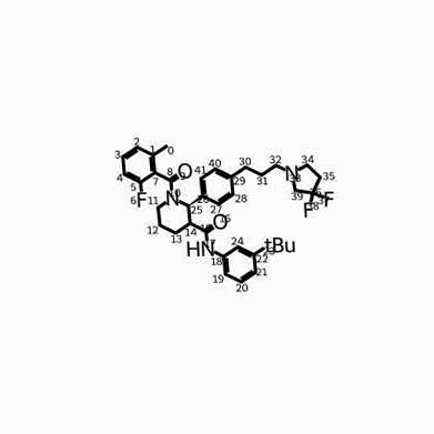 Cc1cccc(F)c1C(=O)N1CCCC(C(=O)Nc2cccc(C(C)(C)C)c2)[C@@H]1c1ccc(CCCN2CCC(F)(F)C2)cc1